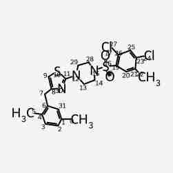 Cc1ccc(C)c(Cc2csc(N3CCN(S(=O)(=O)c4cc(C)c(Cl)cc4Cl)CC3)n2)c1